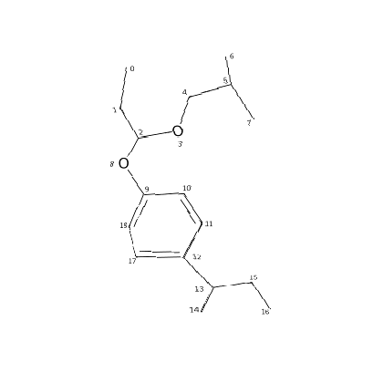 CCC(OCC(C)C)Oc1ccc(C(C)CC)cc1